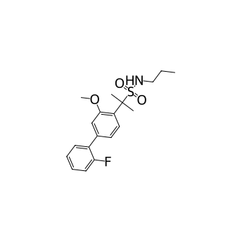 CCCNS(=O)(=O)C(C)(C)c1ccc(-c2ccccc2F)cc1OC